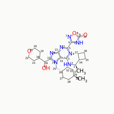 C[C@@H](Nc1nc(-c2noc(=O)[nH]2)nc2nc(C(O)C3CCOCC3)n(C[C@H]3CC[C@H](C)CC3)c12)C1CCC1